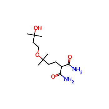 CC(C)(O)CCOC(C)(C)CCC(C(N)=O)C(N)=O